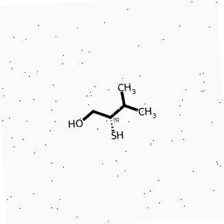 CC(C)[C@H](S)CO